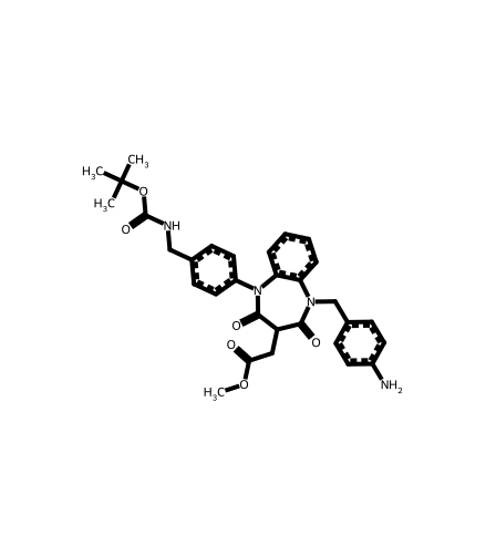 COC(=O)CC1C(=O)N(Cc2ccc(N)cc2)c2ccccc2N(c2ccc(CNC(=O)OC(C)(C)C)cc2)C1=O